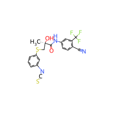 C[C@@](O)(CSc1cccc(N=C=S)c1)C(=O)Nc1ccc(C#N)c(C(F)(F)F)c1